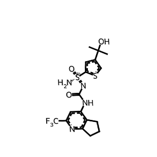 CC(C)(O)c1csc([S@](N)(=O)=NC(=O)Nc2cc(C(F)(F)F)nc3c2CCC3)c1